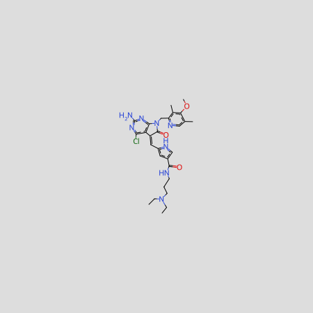 CCN(CC)CCCNC(=O)c1c[nH]c(C=C2C(=O)N(Cc3ncc(C)c(OC)c3C)c3nc(N)nc(Cl)c32)c1